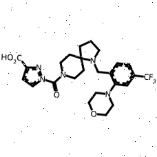 O=C(O)c1ccn(C(=O)N2CCC3(CCCN3Cc3ccc(C(F)(F)F)cc3N3CCOCC3)CC2)n1